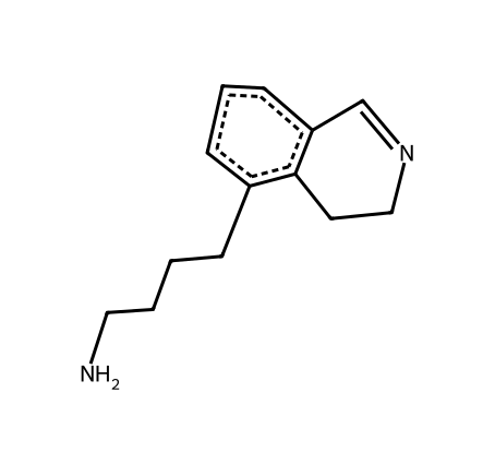 NCCCCc1cccc2c1CCN=C2